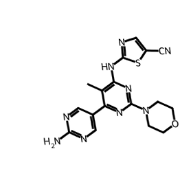 Cc1c(Nc2ncc(C#N)s2)nc(N2CCOCC2)nc1-c1cnc(N)nc1